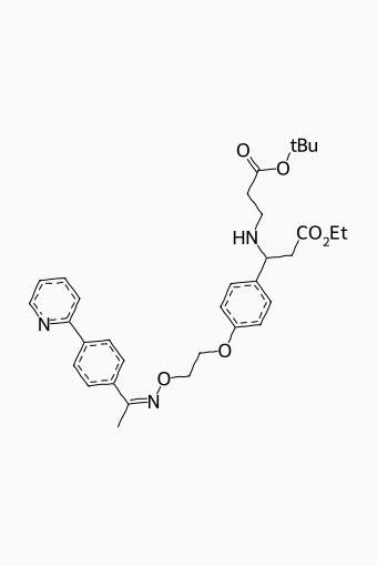 CCOC(=O)CC(NCCC(=O)OC(C)(C)C)c1ccc(OCCON=C(C)c2ccc(-c3ccccn3)cc2)cc1